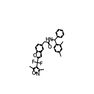 Cc1ccc(C(NC(=O)Cc2ccc3oc(C(F)(F)c4c(C)noc4C)cc3c2)c2ccccc2)c(C)c1